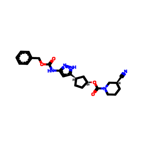 N#C[C@H]1CCCN(C(=O)O[C@@H]2CC[C@H](c3cc(NC(=O)OCc4ccccc4)n[nH]3)C2)C1